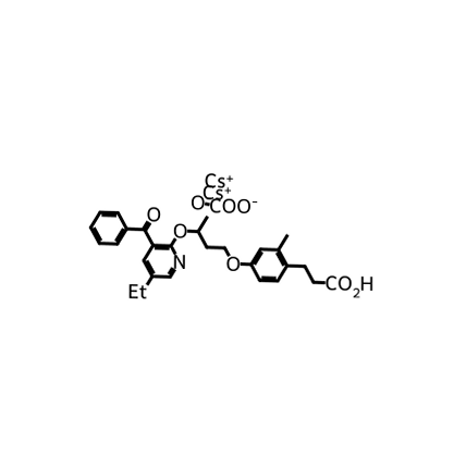 CCc1cnc(OC(C)CCOc2ccc(CCC(=O)O)c(C)c2)c(C(=O)c2ccccc2)c1.O=C([O-])[O-].[Cs+].[Cs+]